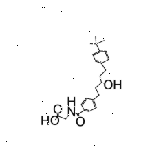 CC(C)(C)c1ccc(CCC(O)CCc2ccc(C(=O)NCC(=O)O)cc2)cc1